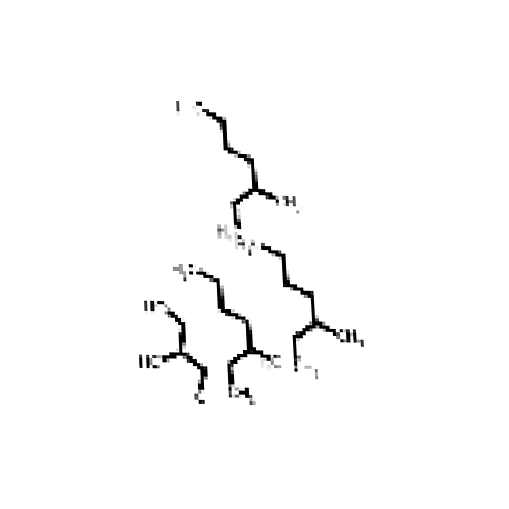 CCCCC(C)CC.CCCCC(C)CC.CCCCC(C)CC.OCC(O)CO